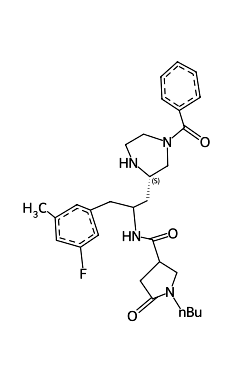 CCCCN1CC(C(=O)NC(Cc2cc(C)cc(F)c2)C[C@H]2CN(C(=O)c3ccccc3)CCN2)CC1=O